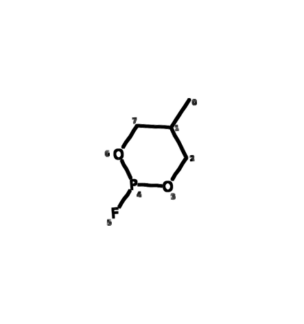 CC1COP(F)OC1